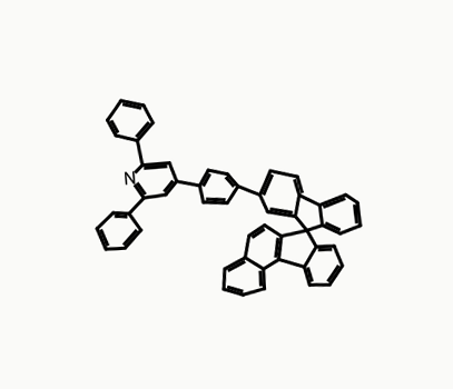 c1ccc(-c2cc(-c3ccc(-c4ccc5c(c4)C4(c6ccccc6-5)c5ccccc5-c5c4ccc4ccccc54)cc3)cc(-c3ccccc3)n2)cc1